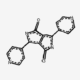 O=c1nc(-c2ccncc2)c2c(=O)nc(-c3ccncc3)c1=2